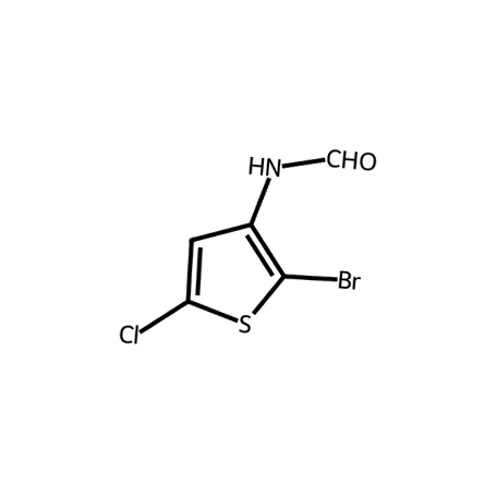 O=CNc1cc(Cl)sc1Br